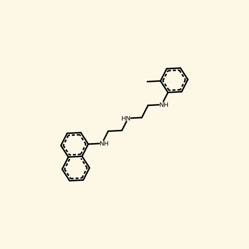 Cc1ccccc1NCCNCCNc1cccc2ccccc12